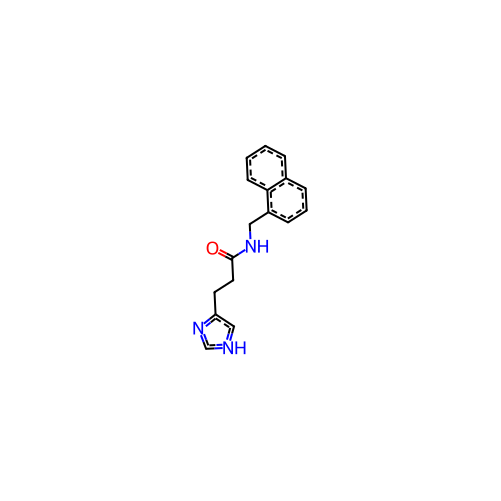 O=C(CCc1c[nH]cn1)NCc1cccc2ccccc12